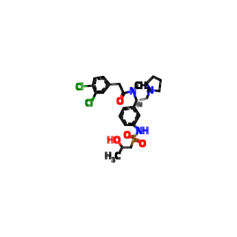 CC(O)CS(=O)(=O)Nc1cccc([C@@H](CN2CCCC2)N(C)C(=O)Cc2ccc(Cl)c(Cl)c2)c1